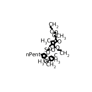 C=CCOC(=O)O[C@H](C)[C@H]1C(=O)C2C(C(=O)OCC=C)=C(COC(=S)Oc3cc(CCCCC)cc(O)c3[C@@H]3C=C(C)CC[C@H]3C(=C)C)[C@H](C)C21